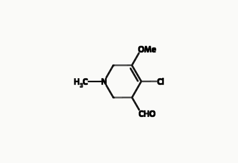 COC1=C(Cl)C(C=O)CN(C)C1